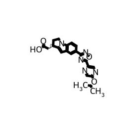 CC(C)Oc1cnc(-c2nc(-c3ccc4c(c3)cc3n4CC[C@H]3CC(=O)O)no2)cn1